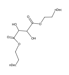 CCCCCCCCCCCCOC(=O)C(O)C(O)C(=O)OCCCCCCCCCCCC